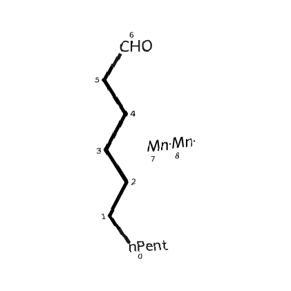 CCCCCCCCCCC=O.[Mn].[Mn]